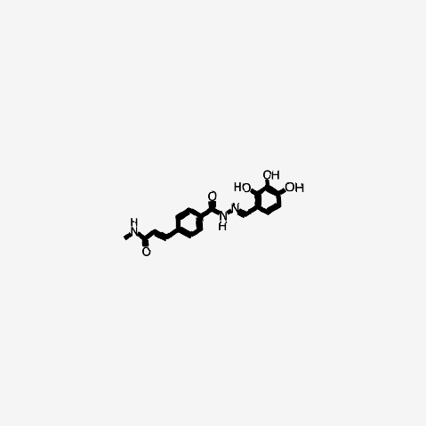 CNC(=O)/C=C/c1ccc(C(=O)N/N=C/c2ccc(O)c(O)c2O)cc1